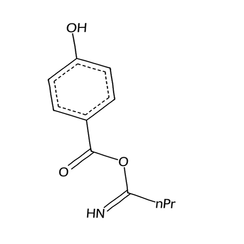 CCCC(=N)OC(=O)c1ccc(O)cc1